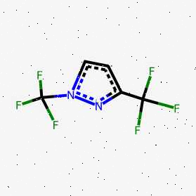 FC(F)(F)c1[c]cn(C(F)(F)F)n1